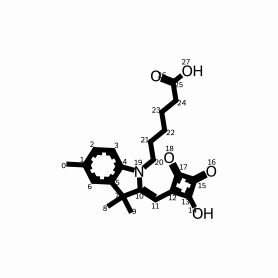 Cc1ccc2c(c1)C(C)(C)C(=Cc1c(O)c(=O)c1=O)N2CCCCCC(=O)O